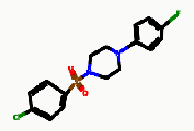 O=S(=O)(c1ccc(Cl)cc1)N1CCN(c2ccc(F)cc2)CC1